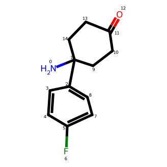 NC1(c2ccc(F)cc2)CCC(=O)CC1